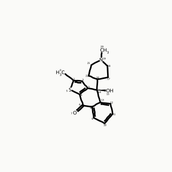 Cc1cc2c(s1)C(=O)c1ccccc1[C@@]2(O)C1CCN(C)CC1